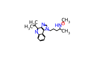 CONC(C)CCCn1cnc2c(C(C)C)nc3ccccc3c21